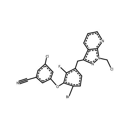 N#Cc1cc(Cl)cc(Oc2c(Br)ccc(Cc3nn(CCl)c4ncccc34)c2F)c1